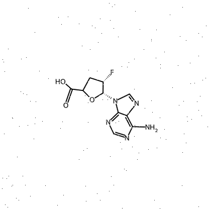 Nc1ncnc2c1ncn2[C@@H]1OC(C(=O)O)C[C@@H]1F